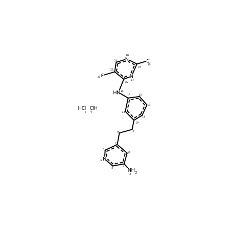 Cl.Cl.Nc1cncc(CCc2cccc(Nc3nc(Cl)ncc3F)c2)c1